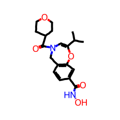 CC(C)C1=CN(C(=O)C2CCOCC2)Cc2ccc(C(=O)NO)cc2O1